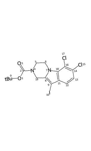 CC(C)(C)OC(=O)N1CCn2c(c(I)c3ccc(Cl)c(Cl)c32)C1